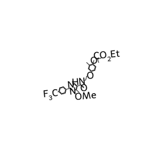 CCOC(=O)C(C)(C)Oc1ccc(OCCNC(=O)c2cnc(-c3ccc(C(F)(F)F)cc3)nc2COC)cc1C